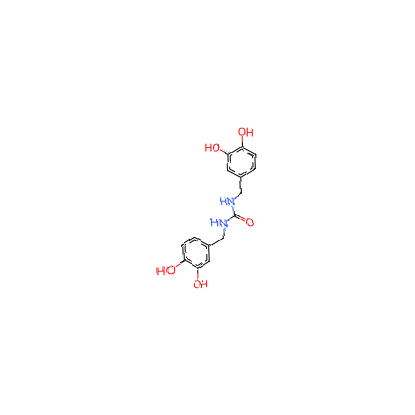 O=C(NCc1ccc(O)c(O)c1)NCc1ccc(O)c(O)c1